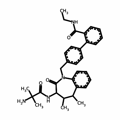 CCNC(=O)c1ccccc1-c1ccc(CN2C(=O)C(NC(=O)C(C)(C)N)C(C)C(C)c3ccccc32)cc1